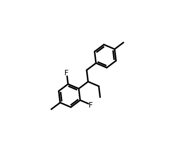 CCC(Cc1ccc(C)cc1)c1c(F)cc(C)cc1F